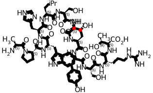 CC(C)C[C@H](NC(=O)[C@H](Cc1c[nH]cn1)NC(=O)[C@H](Cc1c[nH]c2ccccc12)NC(=O)[C@@H]1CCCN1C(=O)[C@H](C)N)C(=O)N[C@@H](CO)C(=O)N[C@@H](CO)C(=O)N[C@@H](CCC(N)=O)C(=O)N[C@@H](Cc1ccc(O)cc1)C(=O)N[C@@H](CO)C(=O)N[C@@H](CCCNC(=N)N)C(=O)N[C@H](C(=O)O)[C@@H](C)O